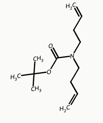 C=CCCN(CCC=C)C(=O)OC(C)(C)C